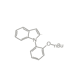 CCCCOc1ccccc1-n1[c]cc2ccccc21